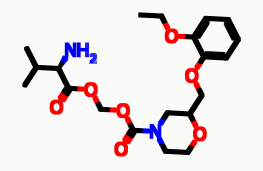 CCOc1ccccc1OCC1CN(C(=O)OCOC(=O)[C@H](N)C(C)C)CCO1